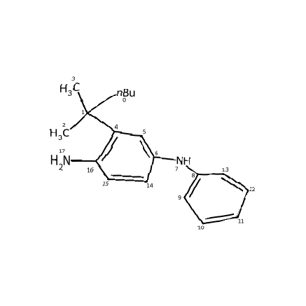 CCCCC(C)(C)c1cc(Nc2ccccc2)ccc1N